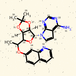 CC(Oc1ccc2cccnc2c1)C1O[C@@H](n2ccc3c(N)ncnc32)[C@@H]2OC(C)(C)O[C@H]12